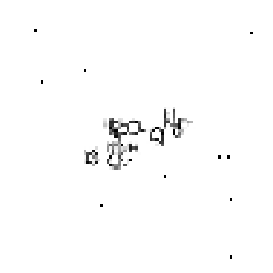 CCC(=O)Nc1cncc(-c2ccc3[nH]nc(-c4nc5c(-c6ccc(C)s6)ccnc5[nH]4)c3c2)c1